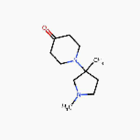 CN1CCC(C)(N2CCC(=O)CC2)C1